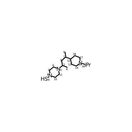 CC(CC(C)N1CCN(S)CC1)C1CCN(C(C)C)CC1